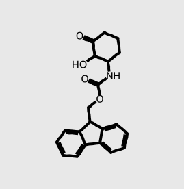 O=C(NC1CCCC(=O)C1O)OCC1c2ccccc2-c2ccccc21